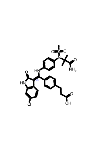 CC(C)(C(N)=O)N(c1ccc(N/C(=C2\C(=O)Nc3cc(Cl)ccc32)c2ccc(CCC(=O)O)cc2)cc1)S(C)(=O)=O